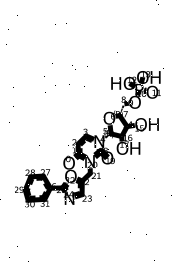 O=c1ccn([C@@H]2O[C@H](COP(=O)(O)O)C(O)C2O)c(=O)n1Cc1cnc(-c2ccccc2)o1